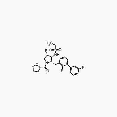 CCS(=O)(=O)N[C@H]1[C@@H](F)CN(C(=O)[C@@H]2CCCO2)[C@H]1Cc1cccc(-c2cccc(F)c2)c1F